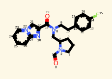 O=CN1CCCC1CN(CCc1ccc(F)cc1)C(=O)c1cn2ccccc2n1